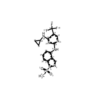 CS(=O)(=O)n1ncc2c(Nc3ncc(C(F)(F)F)c(NC4CC4)n3)cccc21